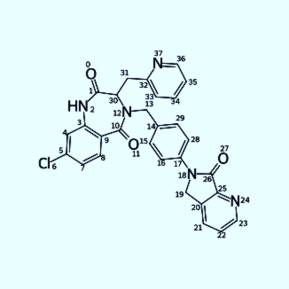 O=C1Nc2cc(Cl)ccc2C(=O)N(Cc2ccc(N3Cc4cccnc4C3=O)cc2)C1Cc1ccccn1